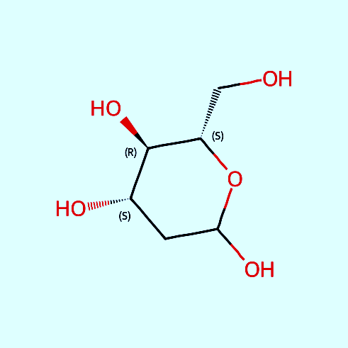 OC[C@@H]1OC(O)C[C@H](O)[C@H]1O